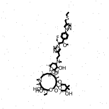 CCSCc1cn(-c2ccc([C@@H](OC)[C@@H](CF)n3cc(CCN(C)[C@H]4C[C@@H](C)O[C@@H](O[C@@H]5[C@@H](C)[C@H](O[C@H]6CC(C)(C)[C@@H](O)[C@H](C)O6)[C@@H](C)C(=O)O[C@H](CC)[C@@](C)(O)[C@H](O)[C@@H](C)N(C)C[C@H](C)C[C@@]5(C)O)[C@@H]4O)nn3)cc2)nn1